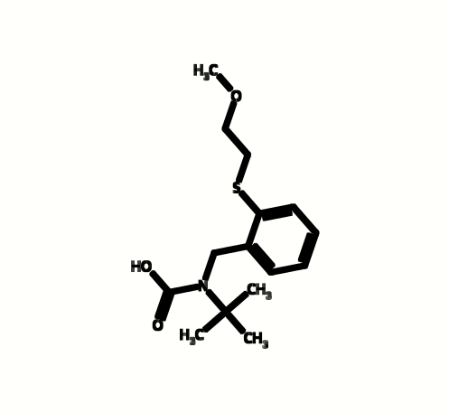 COCCSc1ccccc1CN(C(=O)O)C(C)(C)C